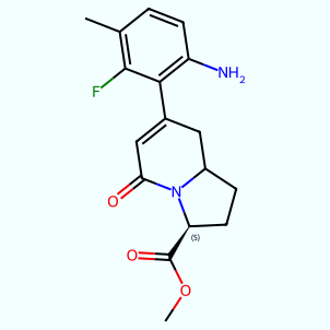 COC(=O)[C@@H]1CCC2CC(c3c(N)ccc(C)c3F)=CC(=O)N21